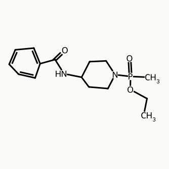 CCOP(C)(=O)N1CCC(NC(=O)c2ccccc2)CC1